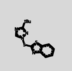 CC(C)(C)c1ncn(Sc2nc3ccccc3s2)n1